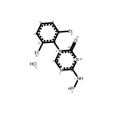 CCCNc1ncn(-c2c(CC)cccc2CC)c(=O)n1.Cl